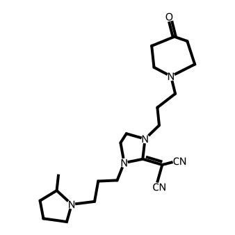 CC1CCCN1CCCN1CCN(CCCN2CCC(=O)CC2)C1=C(C#N)C#N